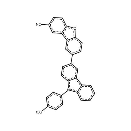 CC(C)(C)c1ccc(-n2c3ccccc3c3cc(-c4ccc5oc6ccc(C#N)cc6c5c4)ccc32)cc1